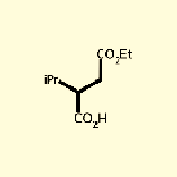 CCOC(=O)CC(C(=O)O)C(C)C